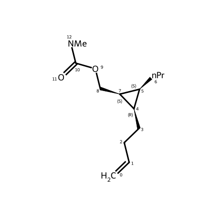 C=CCC[C@@H]1[C@H](CCC)[C@@H]1COC(=O)NC